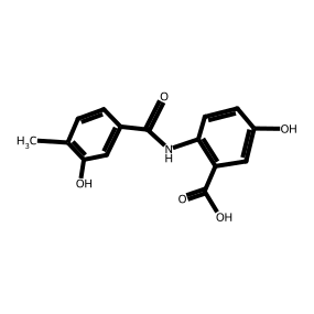 Cc1ccc(C(=O)Nc2ccc(O)cc2C(=O)O)cc1O